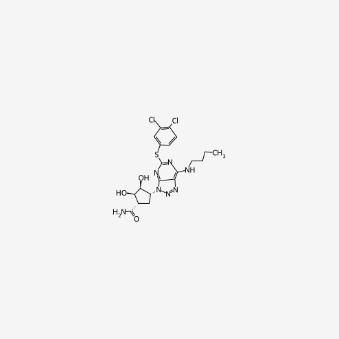 CCCCNc1nc(Sc2ccc(Cl)c(Cl)c2)nc2c1nnn2[C@@H]1C[C@H](C(N)=O)[C@@H](O)[C@H]1O